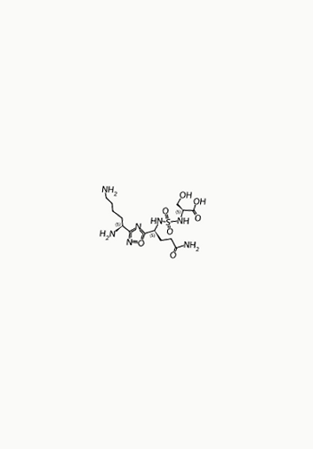 NCCCC[C@H](N)c1noc([C@H](CCC(N)=O)NS(=O)(=O)N[C@@H](CO)C(=O)O)n1